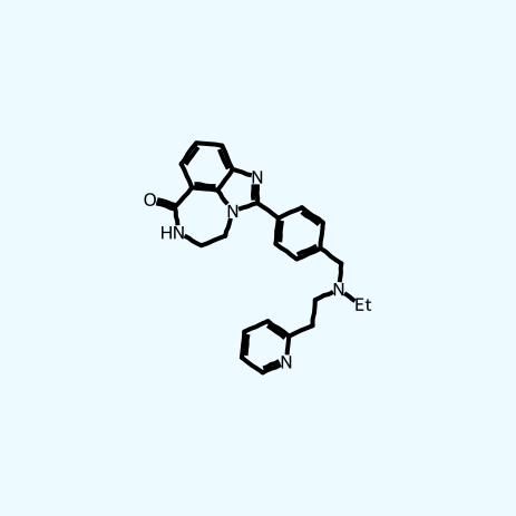 CCN(CCc1ccccn1)Cc1ccc(-c2nc3cccc4c3n2CCNC4=O)cc1